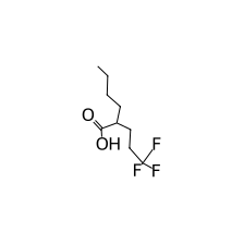 CCCCC(CCC(F)(F)F)C(=O)O